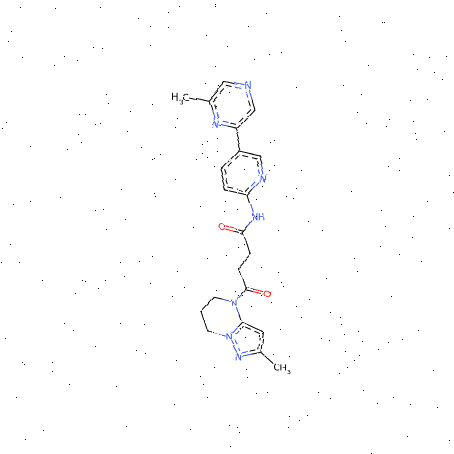 Cc1cncc(-c2ccc(NC(=O)CCC(=O)N3CCCn4nc(C)cc43)nc2)n1